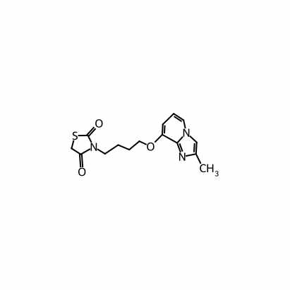 Cc1cn2cccc(OCCCCN3C(=O)CSC3=O)c2n1